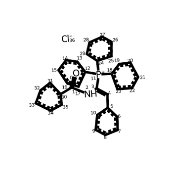 O=C(NC(=Cc1ccccc1)[P+](c1ccccc1)(c1ccccc1)c1ccccc1)c1ccccc1.[Cl-]